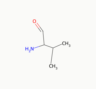 CC(C)C(N)C=O